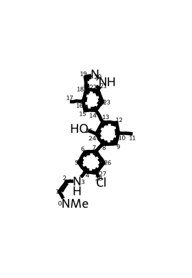 CN/C=C\Nc1ccc(-c2cc(C)cc(-c3cc(C)c4cn[nH]c4c3)c2O)cc1Cl